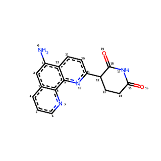 Nc1cc2cccnc2c2nc(C3CCC(=O)NC3=O)ccc12